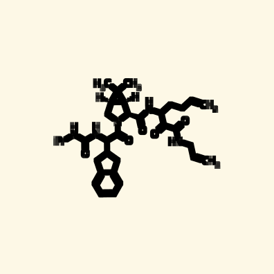 C=CCCC(NC(=O)[C@@H]1[C@H]2[C@@H](CN1C(=O)C(NC(=O)NC(C)C)C1Cc3ccccc3C1)C2(C)C)C(=O)C(=O)NCC=C